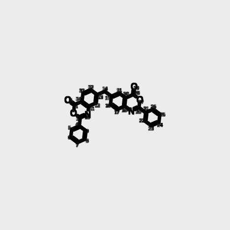 O=c1oc(-c2ccccc2)nc2cc(Cc3ccc4nc(-c5ccccc5)oc(=O)c4c3)ccc12